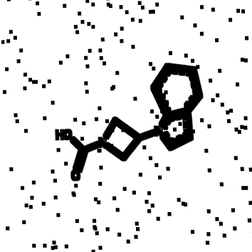 O=C(O)N1CC(n2ccc3ccccc32)C1